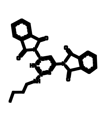 CCCCNn1[nH]n(N2C(=O)c3ccccc3C2=O)cc(N2C(=O)c3ccccc3C2=O)s1